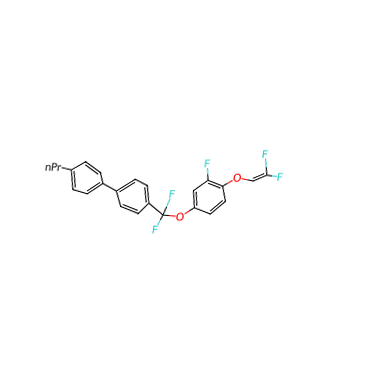 CCCc1ccc(-c2ccc(C(F)(F)Oc3ccc(OC=C(F)F)c(F)c3)cc2)cc1